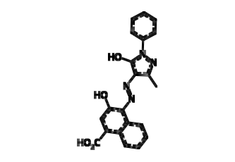 Cc1nn(-c2ccccc2)c(O)c1N=Nc1c(O)cc(C(=O)O)c2ccccc12